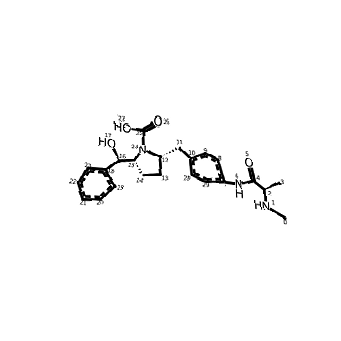 CN[C@H](C)C(=O)Nc1ccc(C[C@@H]2CC[C@H]([C@H](O)c3ccccc3)N2C(=O)O)cc1